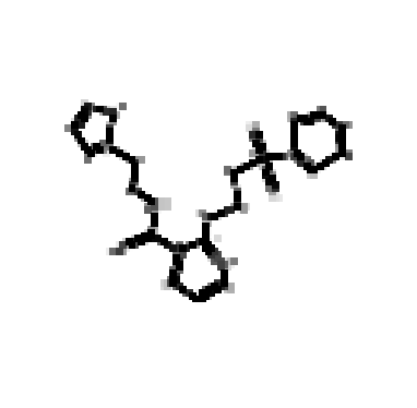 O=C(NCCc1cccs1)c1cccnc1SCCS(=O)(=O)c1ccccc1